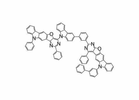 c1ccc(-c2cccc(-n3c4ccccc4c4cc5oc6nc(-c7cccc(-c8ccc9c(c8)c8ccccc8n9-c8nc(-c9ccccc9)nc9c8oc8cc%10c%11ccccc%11n(-c%11ccccc%11)c%10cc89)c7)nc(-c7ccccc7)c6c5cc43)c2)cc1